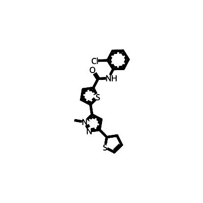 Cn1nc(C2CC=CS2)cc1-c1ccc(C(=O)Nc2ccccc2Cl)s1